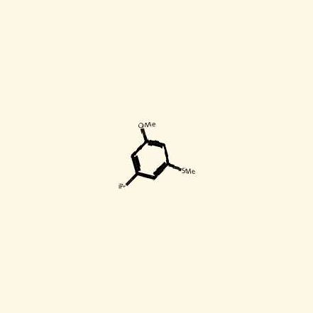 [CH2]C(C)c1cc(OC)cc(SC)c1